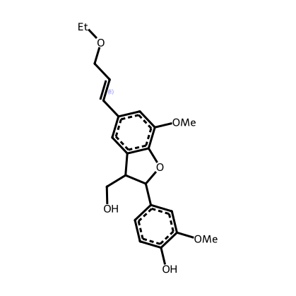 CCOC/C=C/c1cc(OC)c2c(c1)C(CO)C(c1ccc(O)c(OC)c1)O2